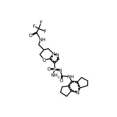 NS(=O)(=NC(=O)Nc1c2c(nc3c1CCC3)CCC2)c1cnn2c1OCC(CNC(=O)C(F)(F)F)C2